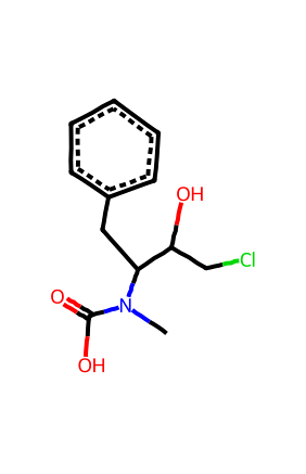 CN(C(=O)O)C(Cc1ccccc1)C(O)CCl